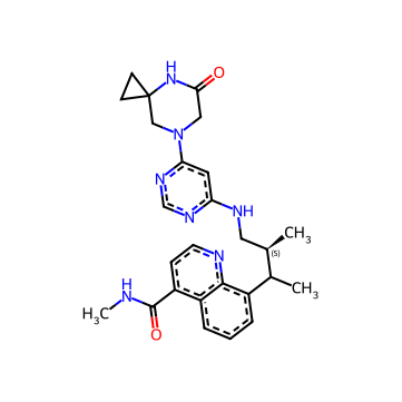 CNC(=O)c1ccnc2c(C(C)[C@H](C)CNc3cc(N4CC(=O)NC5(CC5)C4)ncn3)cccc12